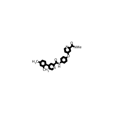 CNC(=O)c1cc(Oc2ccc(NC(=O)c3cc(-c4ccc(C)cc4C)ccn3)cc2)ccn1